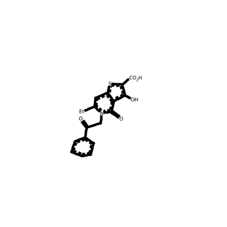 CCc1cc2sc(C(=O)O)c(O)c2c(=O)n1CC(=O)c1ccccc1